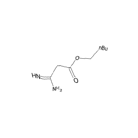 CCCCCOC(=O)CC(=N)N